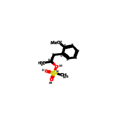 COc1ccccc1CC(C)OS(C)(=O)=O